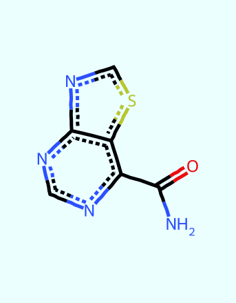 NC(=O)c1ncnc2ncsc12